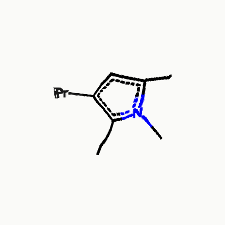 Cc1cc(C(C)C)c(C)n1C